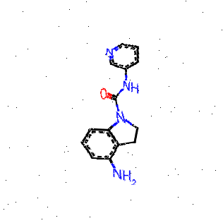 Nc1cccc2c1CCN2C(=O)Nc1cccnc1